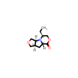 CC[C@H]1COC(=O)[C@@H]2C[C@H]3COC[C@H]3N12